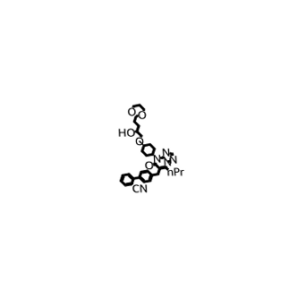 CCCc1c(Cc2ccc(-c3ccccc3C#N)cc2)c(=O)n([C@H]2CC[C@H](OCC(O)CCC3OCCCO3)CC2)c2ncnn12